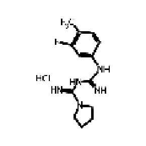 Cl.N=C(NC(=N)N1CCCC1)Nc1ccc(C(F)(F)F)c(F)c1